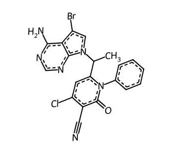 CC(c1cc(Cl)c(C#N)c(=O)n1-c1ccccc1)n1cc(Br)c2c(N)ncnc21